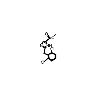 COC(=O)c1cnc(Cc2c(Cl)cccc2Cl)[nH]1